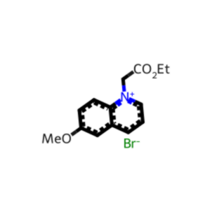 CCOC(=O)C[n+]1cccc2cc(OC)ccc21.[Br-]